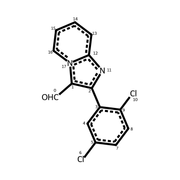 O=Cc1c(-c2cc(Cl)ccc2Cl)nc2ccccn12